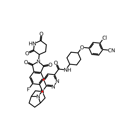 N#Cc1ccc(OC2CCC(NC(=O)c3ccc(N4CC5CCC(C4)N5Cc4cc5c(cc4F)C(=O)N(C4CCC(=O)NC4=O)C5=O)nn3)CC2)cc1Cl